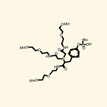 COCCOCCNC(=O)CN(CC(=O)NCCOCCOC)C(Cc1ccc(OP(=O)(O)C(C)(C)C)cc1)C(=O)NCCOCCOC